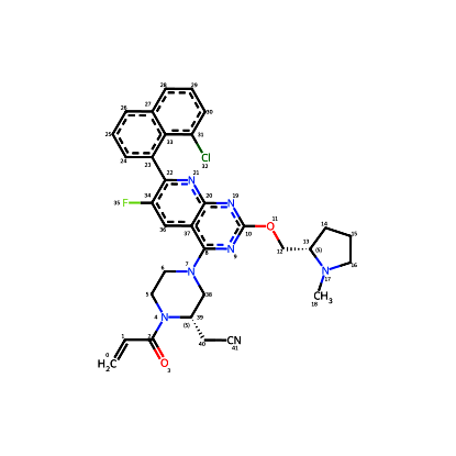 C=CC(=O)N1CCN(c2nc(OC[C@@H]3CCCN3C)nc3nc(-c4cccc5cccc(Cl)c45)c(F)cc23)C[C@@H]1CC#N